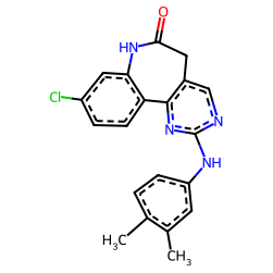 Cc1ccc(Nc2ncc3c(n2)-c2ccc(Cl)cc2NC(=O)C3)cc1C